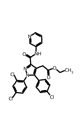 CCOC(=O)Cc1c(C(=O)Nc2cccnc2)nn(-c2ccc(Cl)cc2Cl)c1-c1ccc(Cl)cc1